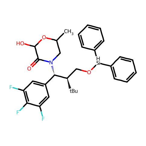 CC1CN([C@@H](c2cc(F)c(F)c(F)c2)[C@@H](CO[SiH](c2ccccc2)c2ccccc2)C(C)(C)C)C(=O)C(O)O1